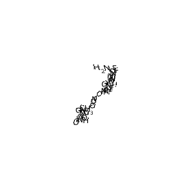 Cn1c(=O)n(C2CCC(=O)NC2=O)c2cccc(CCCOC3CCN(CC4CCC(n5cc(NC(=O)c6cc7nc(N8C[C@H](N)CC(F)(F)C8)ccn7n6)c(C(F)F)n5)CC4)CC3)c21